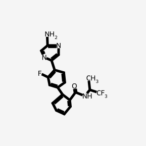 CC(NC(=O)c1ccccc1-c1ccc(-c2cnc(N)cn2)c(F)c1)C(F)(F)F